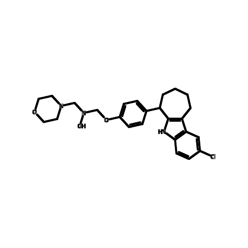 ON(COc1ccc(C2CCCCc3c2[nH]c2ccc(Cl)cc32)cc1)CN1CCOCC1